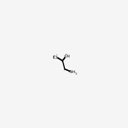 BCC(O)CC